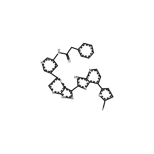 O=C(Cc1ccccc1)Nc1cncc(-c2cnc3[nH]nc(-c4nc5c(-c6ccc(F)s6)ccnc5[nH]4)c3c2)c1